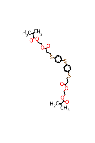 C=C(C)C(=O)OCCOC(=O)CCSc1ccc(Sc2ccc(SCCC(=O)OCCOC(=O)C(=C)C)cc2)cc1